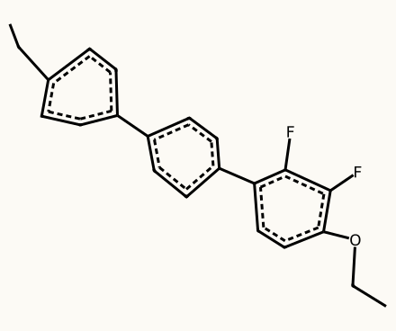 CCOc1ccc(-c2ccc(-c3ccc(CC)cc3)cc2)c(F)c1F